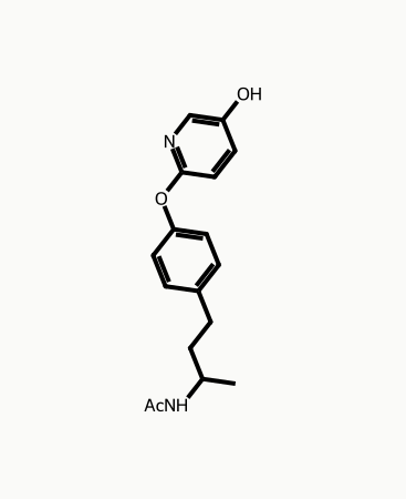 CC(=O)NC(C)CCc1ccc(Oc2ccc(O)cn2)cc1